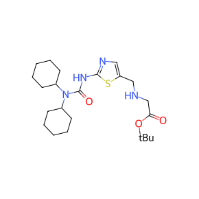 CC(C)(C)OC(=O)CNCc1cnc(NC(=O)N(C2CCCCC2)C2CCCCC2)s1